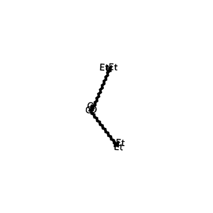 CCN(CC)CCCCCCCCCCCCCCCCCC(=O)OC(=O)CCCCCCCCCCCCCCCCCN(CC)CC